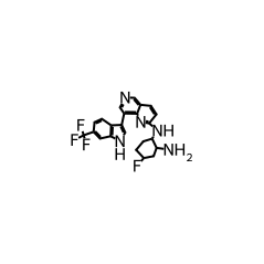 NC1CC(F)CCC1Nc1ccc2cncc(-c3c[nH]c4cc(C(F)(F)F)ccc34)c2n1